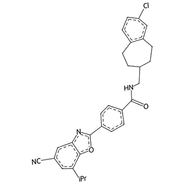 CC(C)c1cc(C#N)cc2nc(-c3ccc(C(=O)NCC4CCc5ccc(Cl)cc5CC4)cc3)oc12